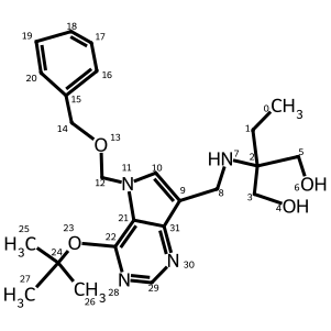 CCC(CO)(CO)NCc1cn(COCc2ccccc2)c2c(OC(C)(C)C)ncnc12